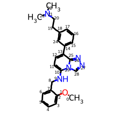 COc1ccccc1CNc1ccc(-c2cccc(CCN(C)C)c2)c2nncn12